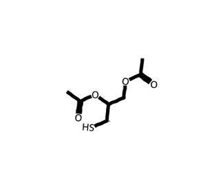 CC(=O)OCC([CH]S)OC(C)=O